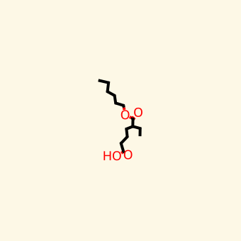 CCCCCCOC(=O)C(CC)CCCC(=O)O